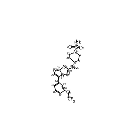 CCS(=O)(=O)N1CCC(N(C)c2nn3c(-c4cccc(OC(F)(F)F)c4)cnc3s2)CC1